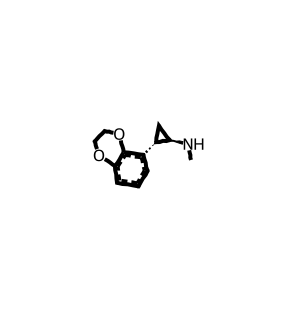 CN[C@@H]1C[C@H]1c1cccc2c1OCCO2